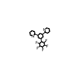 Fc1c(F)c(F)c(-c2cc(-c3ccccn3)cc(-c3ccccn3)c2)c(F)c1F